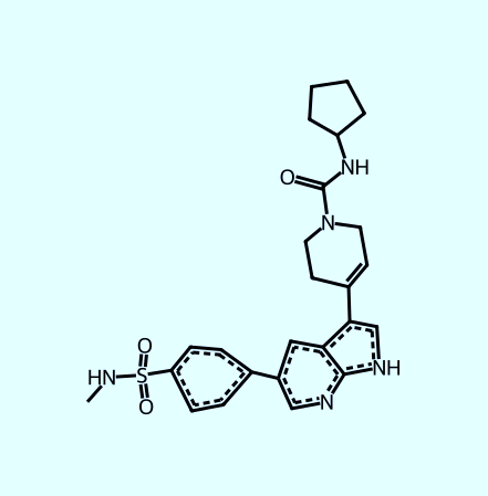 CNS(=O)(=O)c1ccc(-c2cnc3[nH]cc(C4=CCN(C(=O)NC5CCCC5)CC4)c3c2)cc1